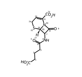 O=C(O)CCCC(=O)NC1C(=O)N2C(C(=O)O)=CCS[C@@H]12